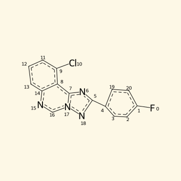 Fc1ccc(-c2nc3c4c(Cl)cccc4ncn3n2)cc1